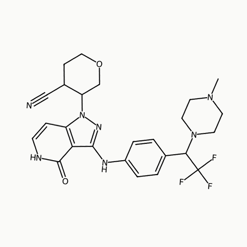 CN1CCN(C(c2ccc(Nc3nn(C4COCCC4C#N)c4cc[nH]c(=O)c34)cc2)C(F)(F)F)CC1